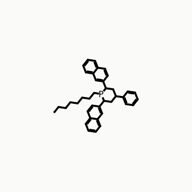 CCCCCCCCP1C(c2ccc3ccccc3c2)CC(c2ccccc2)CC1c1ccc2ccccc2c1